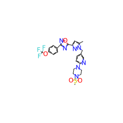 Cc1cc(-c2nc(-c3ccc(OC(F)(F)F)cc3)no2)nn1Cc1ccc(N2CCN(S(C)(=O)=O)CC2)nc1